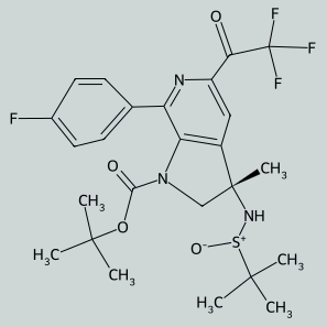 CC(C)(C)OC(=O)N1C[C@@](C)(N[S+]([O-])C(C)(C)C)c2cc(C(=O)C(F)(F)F)nc(-c3ccc(F)cc3)c21